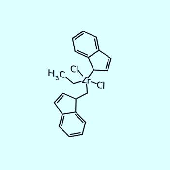 C[CH2][Zr]([Cl])([Cl])([CH2]C1C=Cc2ccccc21)[CH]1C=Cc2ccccc21